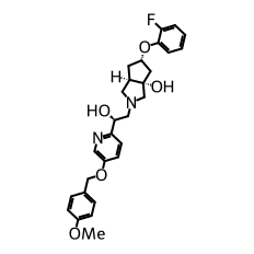 COc1ccc(COc2ccc([C@@H](O)CN3C[C@H]4C[C@H](Oc5ccccc5F)C[C@@]4(O)C3)nc2)cc1